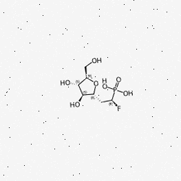 O=P(O)(O)[C@@H](F)C[C@H]1O[C@H](CO)[C@@H](O)[C@@H]1O